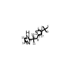 CC(C)(C)c1csc(CC(C)(C)c2ncc[nH]2)c1